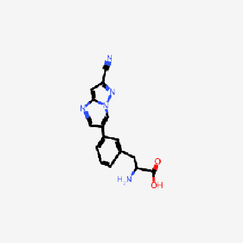 N#Cc1cc2ncc(-c3cccc(CC(N)C(=O)O)c3)cn2n1